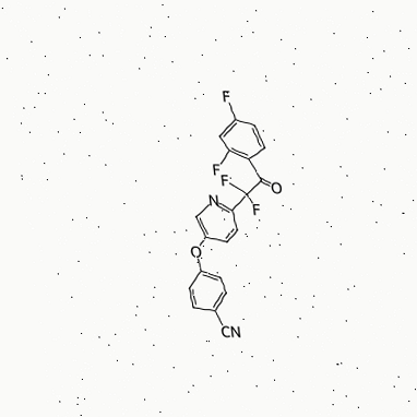 N#Cc1ccc(Oc2ccc(C(F)(F)C(=O)c3ccc(F)cc3F)nc2)cc1